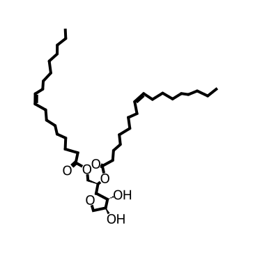 CCCCCCCC/C=C\CCCCCCCC(=O)OC[C@@H](OC(=O)CCCCCCC/C=C\CCCCCCCC)[C@H]1OC[C@H](O)[C@H]1O